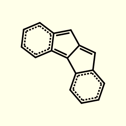 C1=C2C=c3ccccc3=C2c2ccccc21